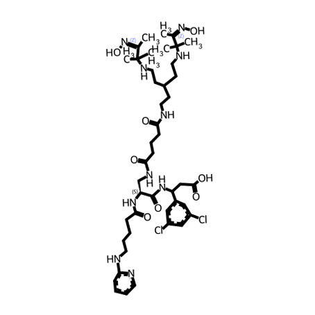 C/C(=N/O)C(C)(C)NCCC(CCNC(=O)CCCC(=O)NC[C@H](NC(=O)CCCCNc1ccccn1)C(=O)NC(CC(=O)O)c1cc(Cl)cc(Cl)c1)CCNC(C)(C)/C(C)=N\O